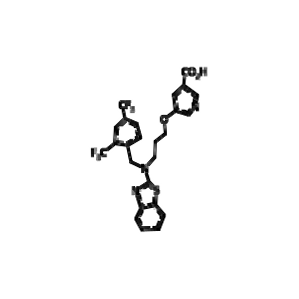 O=C(O)c1cncc(OCCCN(Cc2ccc(C(F)(F)F)cc2C(F)(F)F)c2nc3ccccc3s2)c1